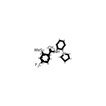 C=C(N[C@H]1CCCC[C@@H]1N1CCCC1)c1ccc(C(F)(F)F)cc1SC